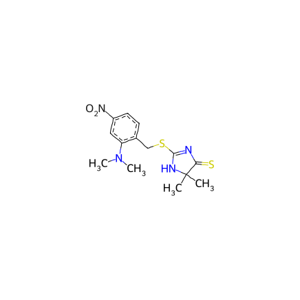 CN(C)c1cc([N+](=O)[O-])ccc1CSC1=NC(=S)C(C)(C)N1